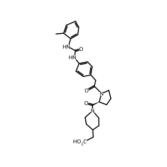 Cc1ccccc1NC(=O)Nc1ccc(CC(=O)N2CCC[C@H]2C(=O)N2CCC(CC(=O)O)CC2)cc1